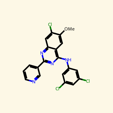 COc1cc2c(Nc3cc(Cl)cc(Cl)c3)nc(-c3cccnc3)nc2cc1Cl